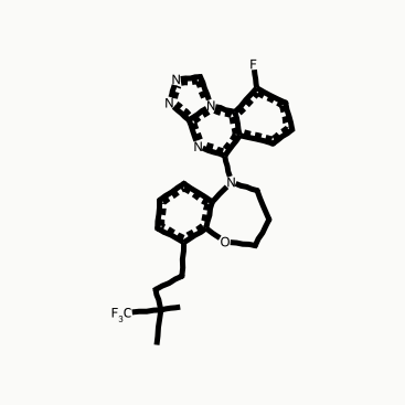 CC(C)(CCc1cccc2c1OCCCN2c1nc2nncn2c2c(F)cccc12)C(F)(F)F